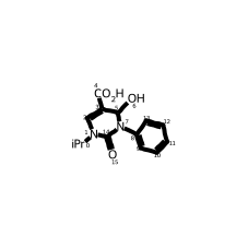 CC(C)N1C=C(C(=O)O)C(O)N(c2ccccc2)C1=O